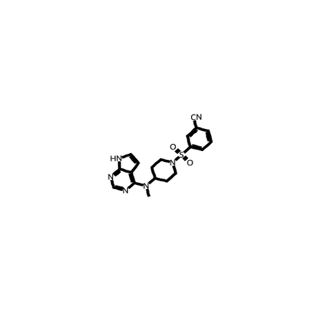 CN(c1ncnc2[nH]ccc12)C1CCN(S(=O)(=O)c2cccc(C#N)c2)CC1